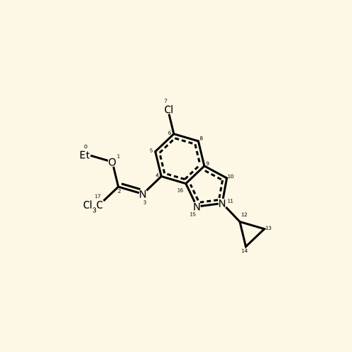 CCOC(=Nc1cc(Cl)cc2cn(C3CC3)nc12)C(Cl)(Cl)Cl